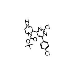 CC(C)(C)OC(=O)N1CCNCC1c1cc(-c2ccc(Cl)cc2)nc(Cl)n1